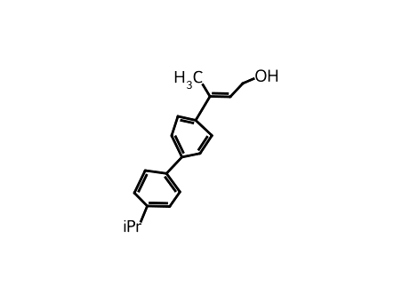 C/C(=C\CO)c1ccc(-c2ccc(C(C)C)cc2)cc1